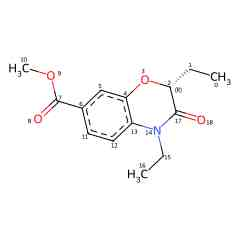 CC[C@H]1Oc2cc(C(=O)OC)ccc2N(CC)C1=O